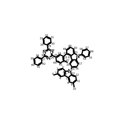 Cc1ccc2c(c1)c1cc(C)ccc1n2-c1ccc2c(c1)c1c(-c3cc(-c4nc(-c5ccccc5)nc(-c5ccccc5)n4)ccc3C)cccc1n2-c1ccccc1